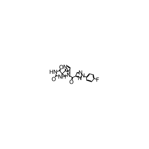 O=C1NC(=O)C(CNC(=O)c2cnn(-c3ccc(F)cc3)n2)(c2nccs2)N1